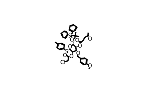 COc1ccc(CO[C@H]2[C@@H](OC(=O)CCC(C)=O)[C@@H](CO[Si](c3ccccc3)(c3ccccc3)C(C)(C)C)O[C@@H](Sc3ccc(C)cc3)[C@@H]2OC(=O)CCl)cc1